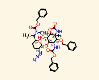 CC([C@@H]1CC[C@@H](N=[N+]=[N-])[C@@H](O[C@H]2[C@H](O)[C@H]3OC(=O)N[C@@H]3[C@@H](OCc3ccccc3)[C@@H]2NC(=O)OCc2ccccc2)O1)N(C)C(=O)OCc1ccccc1